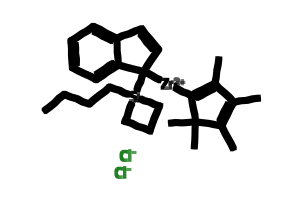 CCCC[Si]1([C]2([Zr+2][C]3=C(C)C(C)=C(C)C3(C)C)C=Cc3ccccc32)CCC1.[Cl-].[Cl-]